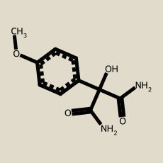 COc1ccc(C(O)(C(N)=O)C(N)=O)cc1